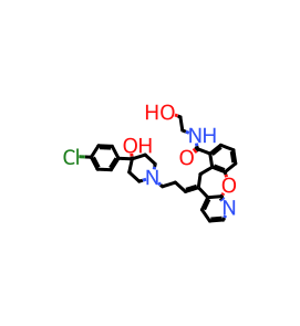 O=C(NCCO)c1cccc2c1CC(=CCCN1CCC(O)(c3ccc(Cl)cc3)CC1)c1cccnc1O2